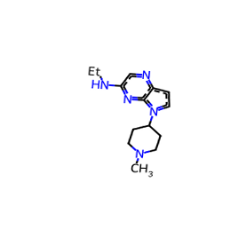 CCNc1cnc2ccn(C3CCN(C)CC3)c2n1